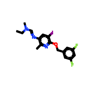 CCN(C)/C=N/c1cc(I)c(OCc2cc(F)cc(F)c2)nc1C